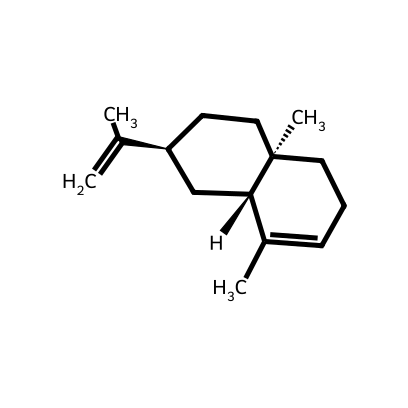 C=C(C)[C@H]1CC[C@@]2(C)CCC=C(C)[C@@H]2C1